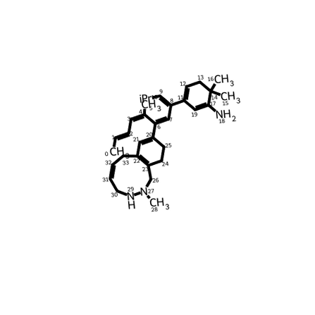 C/C=C/C=C(C)\C(=C/C(=C\C(C)C)C1=CCC(C)(C)C(N)=C1)C1=CC2=C(CC1)CN(C)NC/C=C\C2